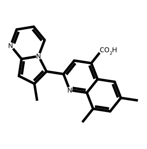 Cc1cc(C)c2nc(-c3c(C)cc4ncccn34)cc(C(=O)O)c2c1